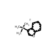 C[N+](C)(C)c1coc2ccccc12.[I-]